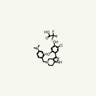 CN(C)c1ccc(CN2CCc3[nH]nc(-c4cc(Cl)c(O)cc4O)c3C2)cc1.O=C(O)C(F)(F)F